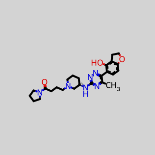 Cc1nc(N[C@@H]2CCCN(CCCC(=O)N3CCCC3)C2)nnc1-c1ccc2c(c1O)CCO2